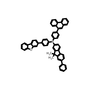 CC1(C)c2cc(-c3ccccc3)ccc2-c2ccc(N(c3ccc(-c4ccc5c(c4)oc4ccccc45)cc3)c3ccc(-c4cc5ccccc5c5ccccc45)cc3)cc21